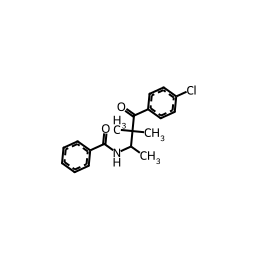 CC(NC(=O)c1ccccc1)C(C)(C)C(=O)c1ccc(Cl)cc1